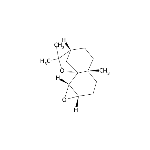 CC1(C)O[C@]23C[C@H]1CC[C@]2(C)CC[C@@H]1O[C@@H]13